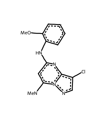 CNc1cc(Nc2cc[c]cc2OC)nc2c(Cl)cnn12